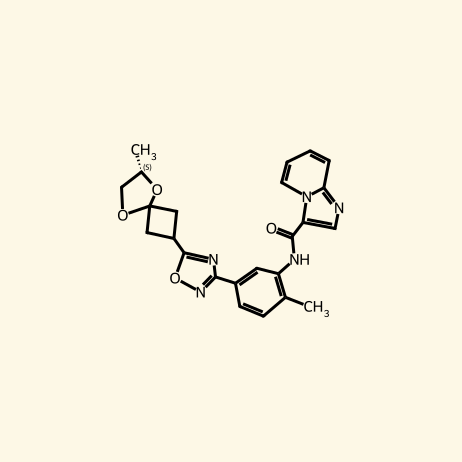 Cc1ccc(-c2noc(C3CC4(C3)OC[C@H](C)O4)n2)cc1NC(=O)c1cnc2ccccn12